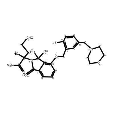 CNC(=O)C(O)(CCC=O)N1C(=O)c2cccc(OCc3cc(CN4CCOCC4)ccc3F)c2C1(O)O